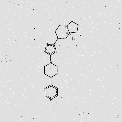 c1cc(C2CCN(c3nnc(N4CCN5CCC[C@H]5C4)s3)CC2)ccn1